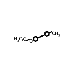 CCOCCOc1ccc(C#Cc2ccc(CC)cc2)cc1